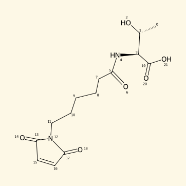 C[C@@H](O)[C@H](NC(=O)CCCCCN1C(=O)C=CC1=O)C(=O)O